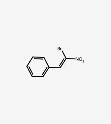 O=[N+]([O-])/C(Br)=C/c1ccccc1